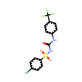 O=C(Nc1ccc(C(F)(F)F)cc1)NS(=O)(=O)c1ccc(Cl)cc1